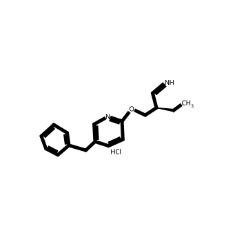 CC[C@H](C=N)COc1ccc(Cc2ccccc2)cn1.Cl